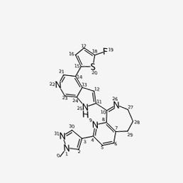 Cn1cc(-c2ccc3c(n2)C(c2cc4c(-c5ccc(F)s5)cncc4[nH]2)=NCCC3)cn1